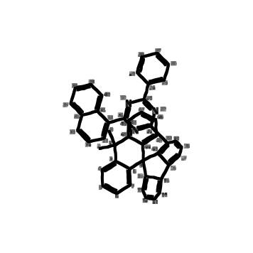 CC1(C)c2ccccc2C2(c3ccccc3-c3cccc(-c4nc(-c5ccccc5)nc(-c5cccc6ccccc56)n4)c32)c2ccccc21